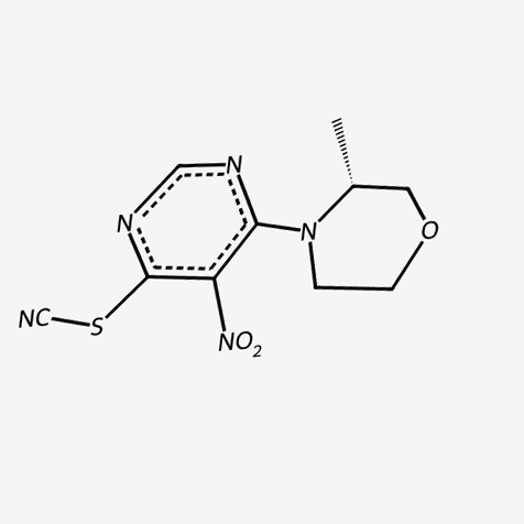 C[C@@H]1COCCN1c1ncnc(SC#N)c1[N+](=O)[O-]